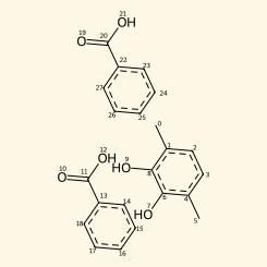 Cc1ccc(C)c(O)c1O.O=C(O)c1ccccc1.O=C(O)c1ccccc1